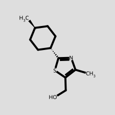 Cc1nc([C@H]2CC[C@H](C)CC2)sc1CO